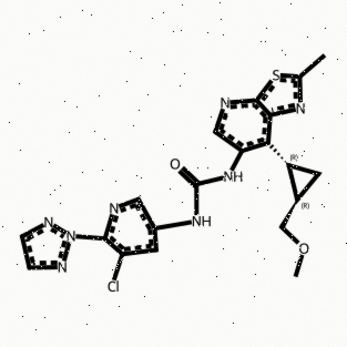 COC[C@@H]1C[C@H]1c1c(NC(=O)Nc2cnc(-n3nccn3)c(Cl)c2)cnc2sc(C)nc12